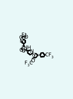 CCS(=O)(=O)c1ccc([C@H](CO)NC(=O)c2ccc(N3C[C@H](c4ccc(C(F)(F)F)cc4)C[C@H]3COC(F)(F)F)nc2)cn1